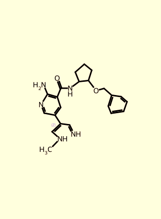 CN/C=C(\C=N)c1cnc(N)c(C(=O)NC2CCCC2OCc2ccccc2)c1